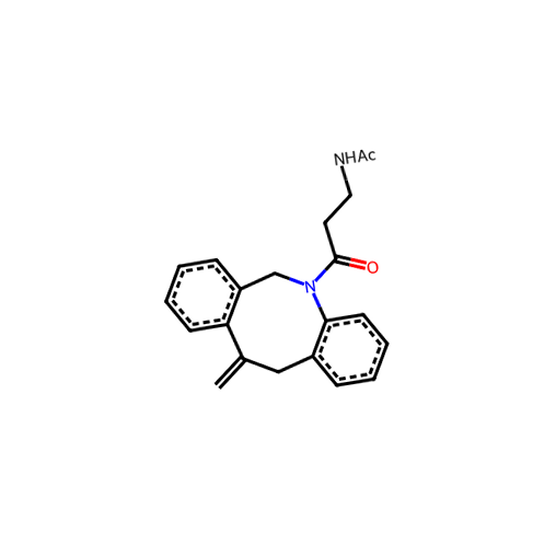 C=C1Cc2ccccc2N(C(=O)CCNC(C)=O)Cc2ccccc21